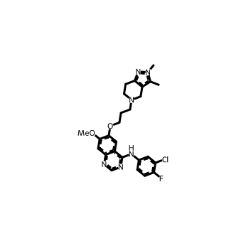 COc1cc2ncnc(Nc3ccc(F)c(Cl)c3)c2cc1OCCCN1CCc2nn(C)c(C)c2C1